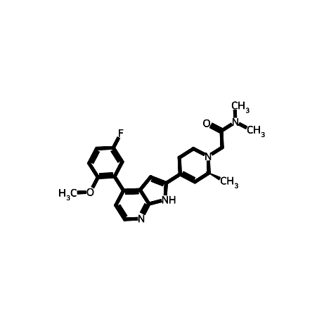 COc1ccc(F)cc1-c1ccnc2[nH]c(C3=C[C@H](C)N(CC(=O)N(C)C)CC3)cc12